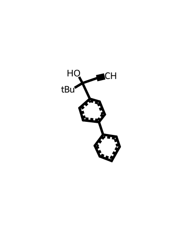 C#CC(O)(c1ccc(-c2ccccc2)cc1)C(C)(C)C